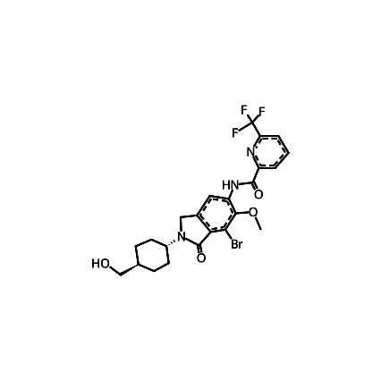 COc1c(NC(=O)c2cccc(C(F)(F)F)n2)cc2c(c1Br)C(=O)N([C@H]1CC[C@H](CO)CC1)C2